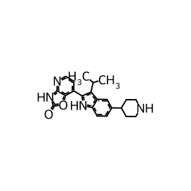 CC(C)c1c(-c2ccnc3[nH]c(=O)oc23)[nH]c2ccc(C3CCNCC3)cc12